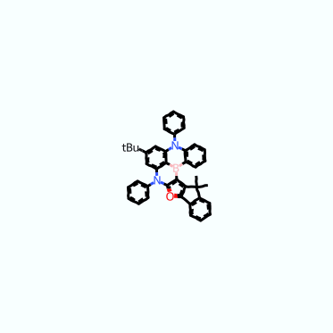 CC(C)(C)c1cc2c3c(c1)N(c1ccccc1)c1oc4c(c1B3c1ccccc1N2c1ccccc1)C(C)(C)c1ccccc1-4